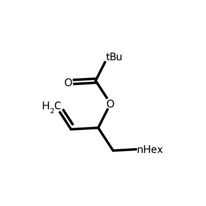 C=CC(CCCCCCC)OC(=O)C(C)(C)C